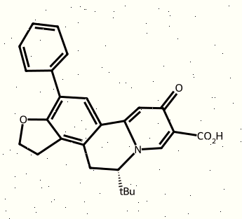 CC(C)(C)[C@@H]1Cc2c(cc(-c3ccccc3)c3c2CCO3)-c2cc(=O)c(C(=O)O)cn21